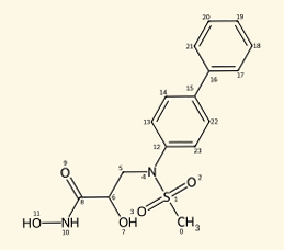 CS(=O)(=O)N(CC(O)C(=O)NO)c1ccc(-c2ccccc2)cc1